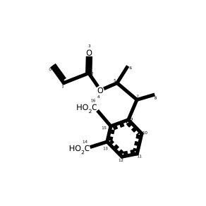 C=CC(=O)OC(C)C(C)c1cccc(C(=O)O)c1C(=O)O